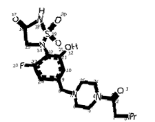 CC(C)CC(=O)N1CCN(Cc2cc(O)c(N3CC(=O)NS3(=O)=O)c(F)c2)CC1